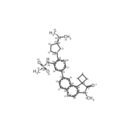 CN1C(=O)C2(CCC2)c2c1cnc1ccc(-c3cnc(N4CC[C@@H](N(C)C)C4)c(NS(C)(=O)=O)c3)cc21